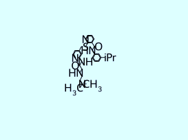 CC(C)c1cccc(NC(=O)c2cccnc2SCc2ccnc(NC(=O)CNCCN(C)C)c2)c1